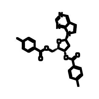 Cc1ccc(C(=O)OC[C@@H]2O[C@@H](n3ccc4cncnc43)C[C@@H]2OC(=O)c2ccc(C)cc2)cc1